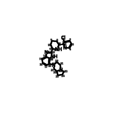 Clc1cccnc1[C@@H]1CCC[C@H](c2nc3cccc(N4CCN5CCCC5C4)c3[nH]2)N1